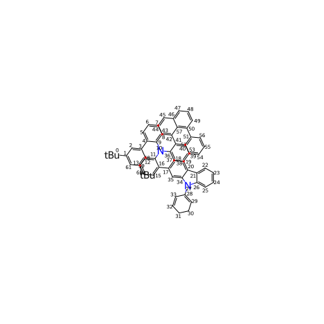 CC(C)(C)c1cc(-c2ccccc2N(c2ccccc2-c2ccc3c4ccccc4n(C4=CCCC=C4)c3c2)c2ccccc2-c2cccc3cccc(-c4ccccc4)c23)cc(C(C)(C)C)c1